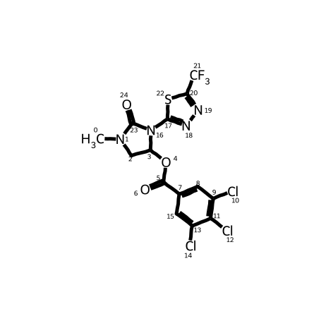 CN1CC(OC(=O)c2cc(Cl)c(Cl)c(Cl)c2)N(c2nnc(C(F)(F)F)s2)C1=O